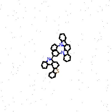 c1ccc(-n2c3ccccc3c3ccc4c5ccccc5n(-c5cccc(-c6nc7ccccc7c7c6ccc6sc8ccccc8c67)c5)c4c32)cc1